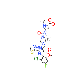 COC(=O)C1=C(CN2CCN3C(=O)N([C@H]4C[C@H](C(=O)OC)N(C(C)C)C4)C[C@@H]3C2)NC(c2nccs2)=N[C@H]1c1ccc(F)cc1Cl